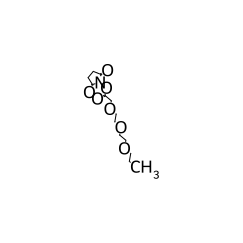 CCCOCCOCCOCC(=O)ON1C(=O)CCC1=O